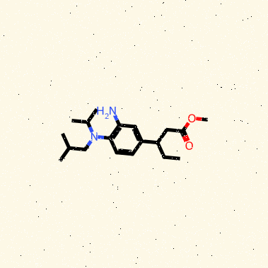 CCC(CC(=O)OC)c1ccc(N(CC(C)C)C(C)C)c(N)c1